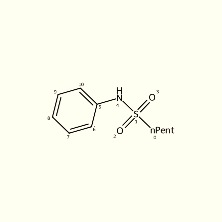 CCCCCS(=O)(=O)Nc1[c]cccc1